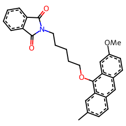 COc1ccc2cc3ccc(C)cc3c(OCCCCCN3C(=O)c4ccccc4C3=O)c2c1